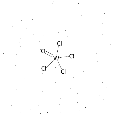 [O]=[W]([Cl])([Cl])([Cl])[Cl]